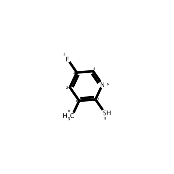 Cc1cc(F)cnc1S